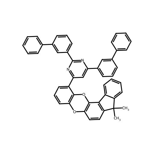 CC1(C)c2ccccc2-c2c1ccc1c2Oc2c(cccc2-c2cc(-c3cccc(-c4ccccc4)c3)nc(-c3cccc(-c4ccccc4)c3)n2)O1